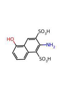 Nc1c(S(=O)(=O)O)cc2c(O)cccc2c1S(=O)(=O)O